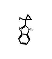 FC1(c2nc3ccccc3[nH]2)CC1